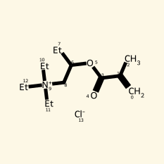 C=C(C)C(=O)OC(CC)C[N+](CC)(CC)CC.[Cl-]